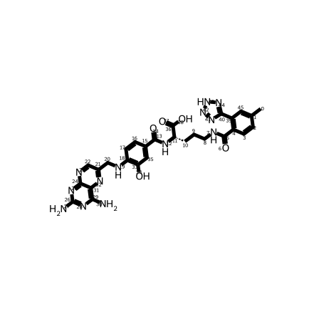 Cc1ccc(C(=O)NCCC[C@H](NC(=O)c2ccc(NCc3cnc4nc(N)nc(N)c4n3)c(O)c2)C(=O)O)c(-c2nn[nH]n2)c1